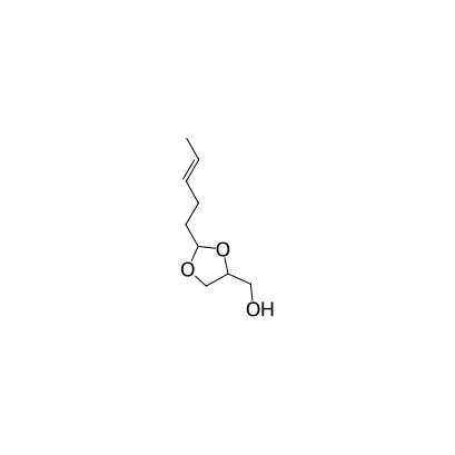 C/C=C/CCC1OCC(CO)O1